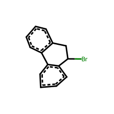 BrC1Cc2ccccc2-c2ccccc21